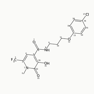 Cn1c(C(F)(F)F)cc(C(=O)NCCCOc2ccc(Cl)cc2)c(O)c1=O